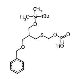 CC(C)(C)[Si](C)(C)OCC(COCc1ccccc1)CSCO[PH](=O)O